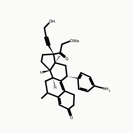 COCC(=O)[C@@]1(C#CCO)CC[C@H]2[C@@H]3CC(C)C4=CC(=O)CCC4=C3[C@@H](c3ccc(N)cc3)C[C@@]21C